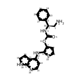 NC[C@@H](NC(=O)Oc1ccsc1Nc1ccnc2[nH]ccc12)c1ccccc1